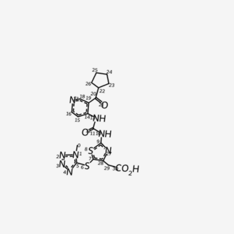 Cn1nnnc1Sc1sc(NC(=O)Nc2ccncc2C(=O)C2CCCC2)nc1CC(=O)O